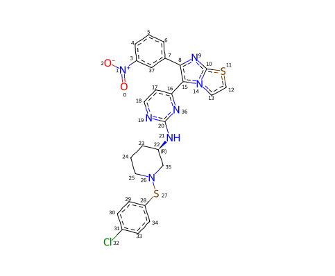 O=[N+]([O-])c1cccc(-c2nc3sccn3c2-c2ccnc(N[C@@H]3CCCN(Sc4ccc(Cl)cc4)C3)n2)c1